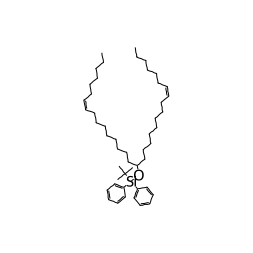 CCCCCC/C=C\CCCCCCCCC(CCCCCCCC/C=C\CCCCCC)O[Si](c1ccccc1)(c1ccccc1)C(C)(C)C